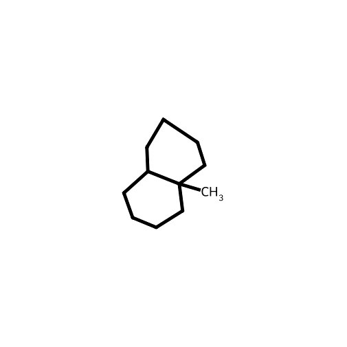 CC12CCCCC1CCCC2